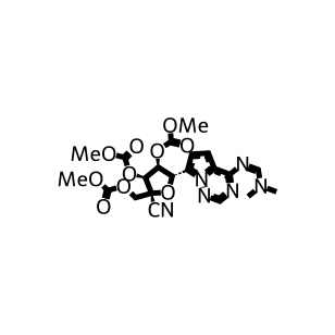 COC(=O)OC[C@@]1(C#N)O[C@@H](c2ccc3c(/N=C\N(C)C)ncnn23)[C@H](OC(=O)OC)[C@@H]1OC(=O)OC